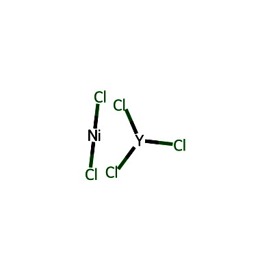 [Cl][Ni][Cl].[Cl][Y]([Cl])[Cl]